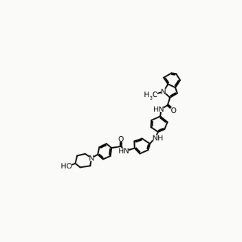 Cn1c(C(=O)Nc2ccc(Nc3ccc(NC(=O)c4ccc(N5CCC(O)CC5)cc4)cc3)cc2)cc2ccccc21